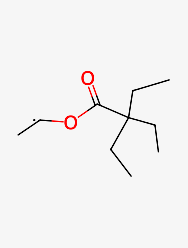 C[CH]OC(=O)C(CC)(CC)CC